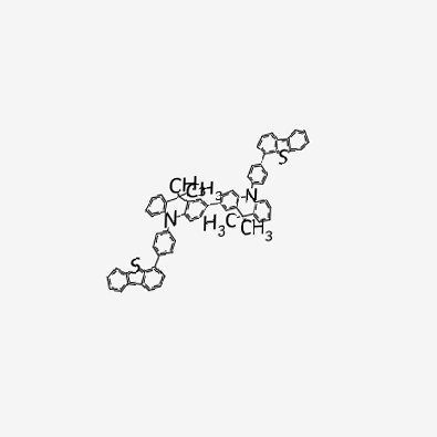 CC1(C)c2ccccc2N(c2ccc(-c3cccc4c3sc3ccccc34)cc2)c2ccc(-c3ccc4c(c3)C(C)(C)c3ccccc3N4c3ccc(-c4cccc5c4sc4ccccc45)cc3)cc21